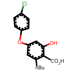 CCCCc1cc(Oc2ccc(Cl)cc2)cc(O)c1C(=O)O